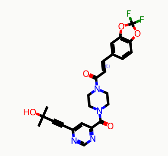 CC(C)(O)C#Cc1cc(C(=O)N2CCN(C(=O)/C=C/c3ccc4c(c3)OC(F)(F)O4)CC2)ncn1